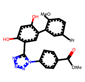 COC(=O)c1ccc(-n2nnnc2-c2cc(-c3cc(C(C)C)ccc3OC)c(O)cc2O)cc1